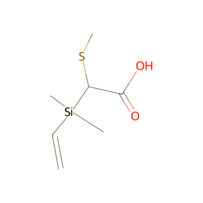 C=C[Si](C)(C)C(SC)C(=O)O